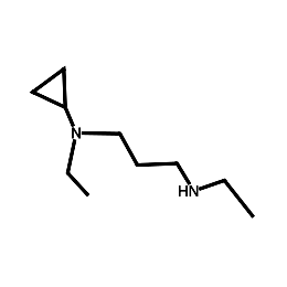 CCNCCCN(CC)C1CC1